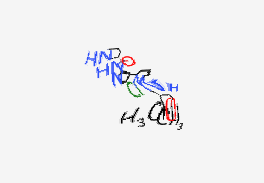 CC1(C)C[C@@H](CNc2cccc(-c3cc(NC(=O)[C@H]4CCCNC4)ncc3Cl)n2)CCO1